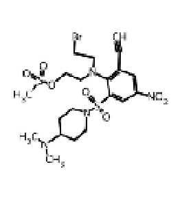 C#Cc1cc([N+](=O)[O-])cc(S(=O)(=O)N2CCC(N(C)C)CC2)c1N(CCBr)CCOS(C)(=O)=O